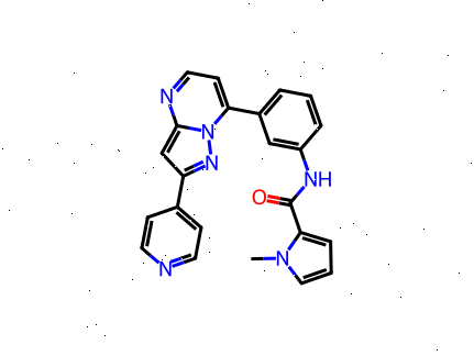 Cn1cccc1C(=O)Nc1cccc(-c2ccnc3cc(-c4ccncc4)nn23)c1